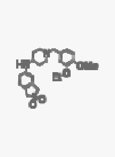 CCOc1cc(CN2CCC(Nc3ccc4c(c3)CS(=O)(=O)C4)CC2)ccc1OC